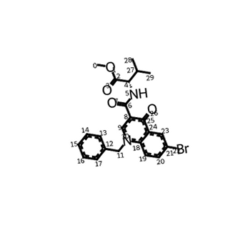 COC(=O)[C@@H](NC(=O)c1cn(Cc2ccccc2)c2ccc(Br)cc2c1=O)C(C)C